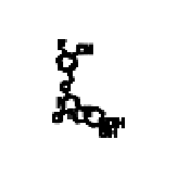 N#Cc1cc(COc2cc3n(c(=O)n2)CC2CS(O)(O)CCN32)ccc1F